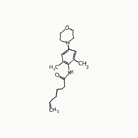 C=CCCCC(=O)Nc1c(C)cc(N2CCOCC2)cc1C